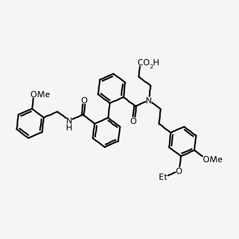 CCOc1cc(CCN(CCC(=O)O)C(=O)c2ccccc2-c2ccccc2C(=O)NCc2ccccc2OC)ccc1OC